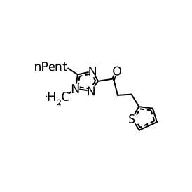 [CH2]n1nc(C(=O)CCc2cccs2)nc1CCCCC